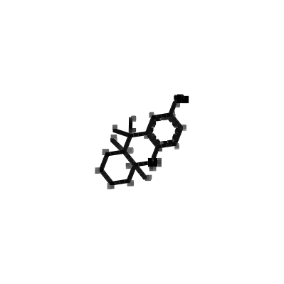 CC(C)(C)c1ccc2c(c1)C(C)(C)C1(C)CCCCC1(C)N2